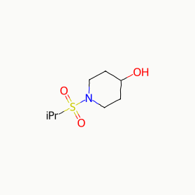 CC(C)S(=O)(=O)N1CCC(O)CC1